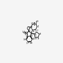 CN1CCC(C2(C3CCCC3)C(=O)N(C)c3ccccc32)CC1